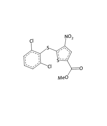 COC(=O)c1cc([N+](=O)[O-])c(Sc2c(Cl)cccc2Cl)s1